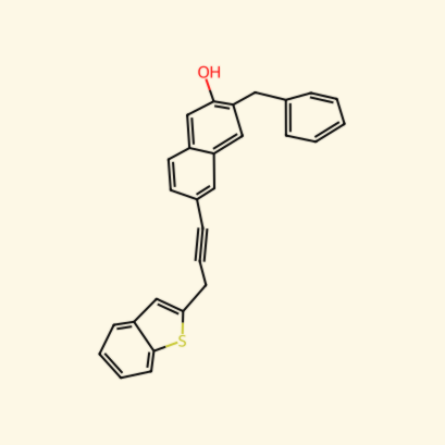 Oc1cc2ccc(C#CCc3cc4ccccc4s3)cc2cc1Cc1ccccc1